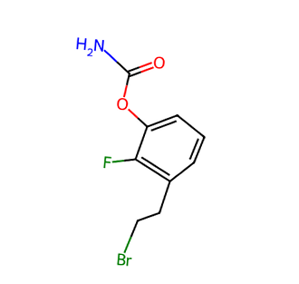 NC(=O)Oc1cccc(CCBr)c1F